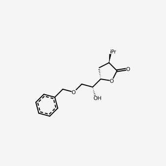 CC(C)[C@@H]1C[C@@H]([C@H](O)COCc2ccccc2)OC1=O